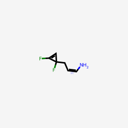 N/C=C\CC1(F)C=C1F